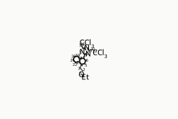 CCOCCc1ccc(-c2nc(CC(Cl)(Cl)Cl)nc(CC(Cl)(Cl)Cl)n2)c2ccccc12